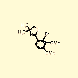 COc1ccc(C2=NC(C)(C)CO2)c(Br)c1OC